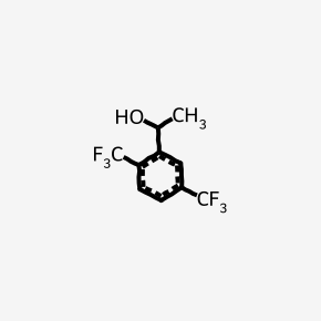 CC(O)c1cc(C(F)(F)F)ccc1C(F)(F)F